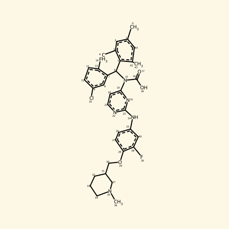 Cc1cc(C)c(C(c2cc(Cl)ccc2F)N(C(=O)O)c2ccnc(Nc3ccc(OCC4CCCN(C)C4)c(F)c3)n2)c(C)c1